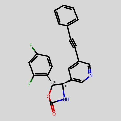 O=C1N[C@H](c2cncc(C#Cc3ccccc3)c2)[C@@H](c2ccc(F)cc2F)O1